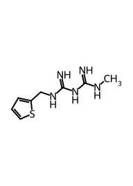 CNC(=N)NC(=N)NCc1cccs1